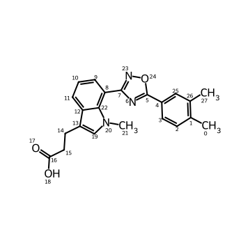 Cc1ccc(-c2nc(-c3cccc4c(CCC(=O)O)cn(C)c34)no2)cc1C